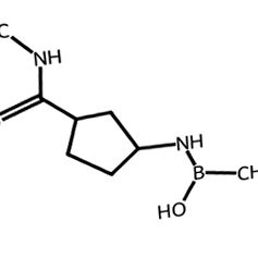 CNC(=S)C1CCC(NB(C)O)C1